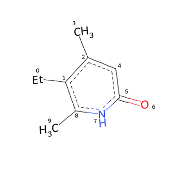 CCc1c(C)cc(=O)[nH]c1C